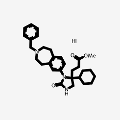 COC(=O)CCC1(C2CCCCC2)CNC(=O)N1c1ccc2c(c1)CCN(Cc1ccccc1)CC2.I